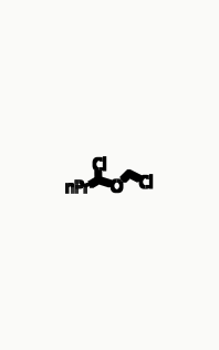 CCCC(Cl)OCCl